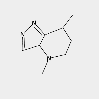 CC1CCN(C)C2C=NN=C12